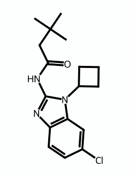 CC(C)(C)CC(=O)Nc1nc2ccc(Cl)cc2n1C1CCC1